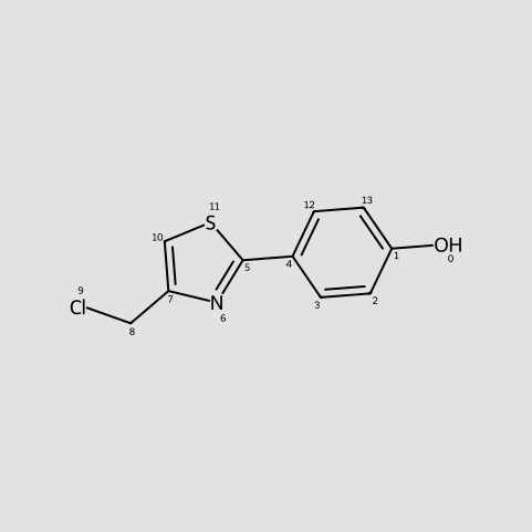 Oc1ccc(-c2nc(CCl)cs2)cc1